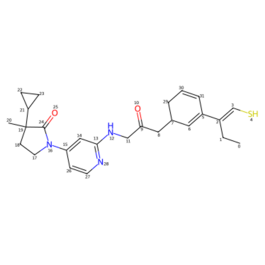 CC/C(=C\S)C1=CC(CC(=O)CNc2cc(N3CCC(C)(C4CC4)C3=O)ccn2)CC=C1